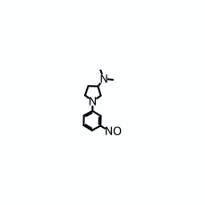 CN(C)C1CCN(c2cccc(N=O)c2)C1